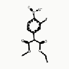 CCOC(=O)C(C(=O)OC)c1ccc([N+](=O)[O-])c(F)c1